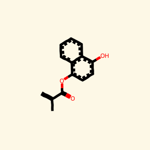 C=C(C)C(=O)Oc1ccc(O)c2ccccc12